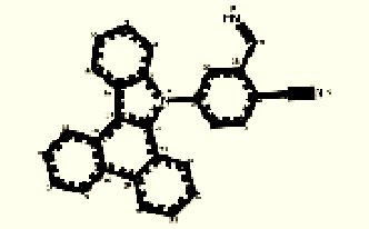 N#Cc1ccc(-n2c3ccccc3c3c4ccccc4c4ccccc4c32)cc1C=N